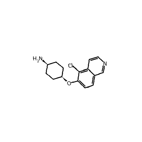 N[C@H]1CC[C@@H](Oc2ccc3cnccc3c2Cl)CC1